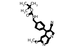 COc1cc2c(-c3ccc(CNC(=O)OC(C)(C)C)cc3)c(C#N)cnc2cn1